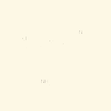 CN(C)CCOc1cc(N)ccc1Cl